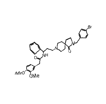 COc1ccc(CC(=O)NC(CCN2CCC3(CC2)CCN(Cc2ccc(Br)cc2)C3=O)c2ccccc2)cc1OC